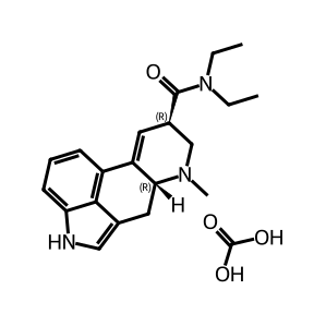 CCN(CC)C(=O)[C@@H]1C=C2c3cccc4[nH]cc(c34)C[C@H]2N(C)C1.O=C(O)O